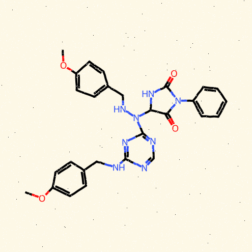 COc1ccc(CNc2ncnc(N(NCc3ccc(OC)cc3)C3NC(=O)N(c4ccccc4)C3=O)n2)cc1